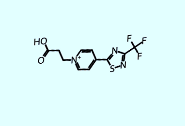 O=C(O)CC[n+]1ccc(-c2nc(C(F)(F)F)ns2)cc1